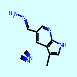 C#N.C#N.Cc1c[nH]c2ncc(C=NN)cc12